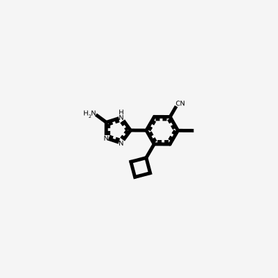 Cc1cc(C2CCC2)c(-c2nnc(N)[nH]2)cc1C#N